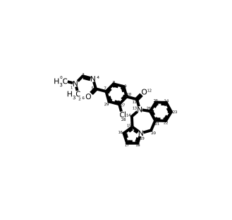 CN(C)/C=N\C(=O)c1ccc(C(=O)N2Cc3cccn3Cc3ccccc32)c(Cl)c1